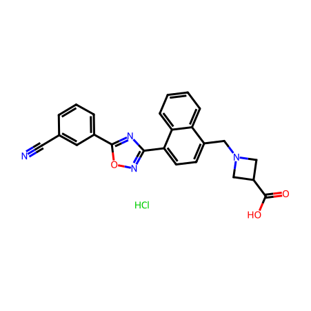 Cl.N#Cc1cccc(-c2nc(-c3ccc(CN4CC(C(=O)O)C4)c4ccccc34)no2)c1